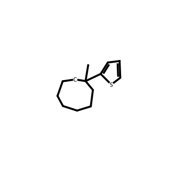 CC1(c2cccs2)CCCCCCC1